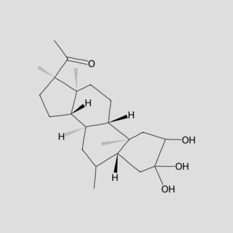 CC(=O)[C@]1(C)CC[C@H]2[C@@H]3CC(C)[C@H]4CC(O)(O)C(O)C[C@]4(C)[C@H]3CC[C@@]21C